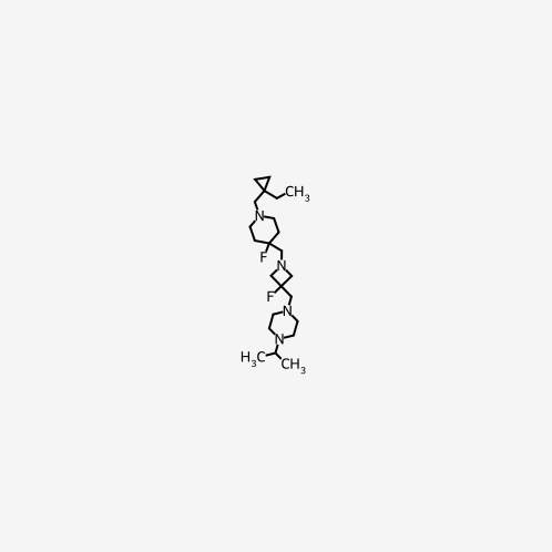 CCC1(CN2CCC(F)(CN3CC(F)(CN4CCN(C(C)C)CC4)C3)CC2)CC1